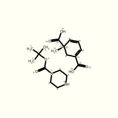 CC(C)(C)OC(=O)N1CCNCC1.C[C@@]1(C(=O)O)C=CC=C(C(=O)O)C1